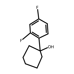 OC1(c2ccc(F)cc2F)CCCCC1